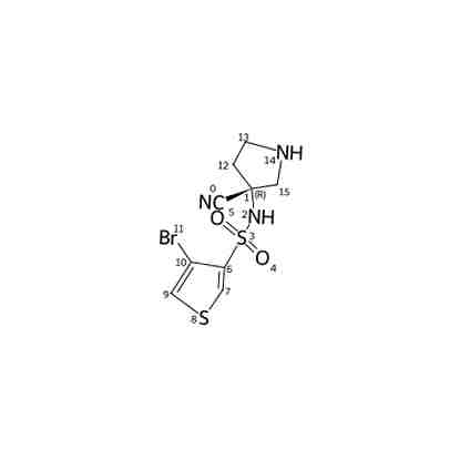 N#C[C@@]1(NS(=O)(=O)c2cscc2Br)CCNC1